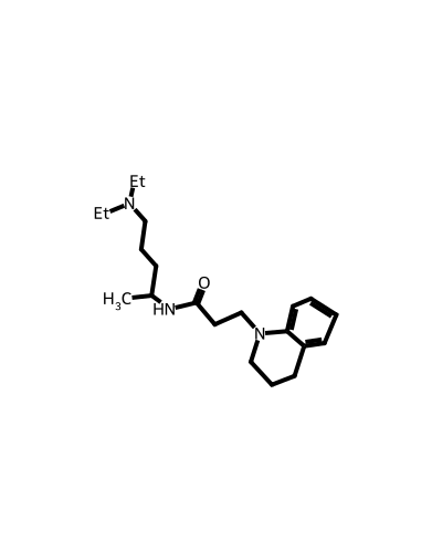 CCN(CC)CCCC(C)NC(=O)CCN1CCCc2ccccc21